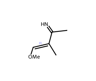 CO/C=C(\C)C(C)=N